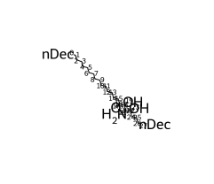 CCCCCCCCCCCCCCCCCCCCCCCCCC(=O)C(O)C(N)C(O)CCCCCCCCCCCCC